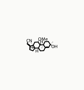 CO[C@H]1C[C@]2(C)/C(=C\C#N)CC[C@H]2[C@@H]2CCC3=C[C@](C)(O)CC[C@]3(C)[C@H]21